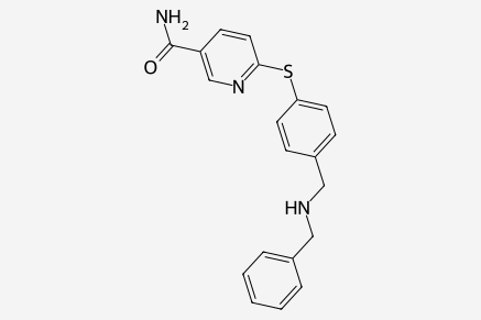 NC(=O)c1ccc(Sc2ccc(CNCc3ccccc3)cc2)nc1